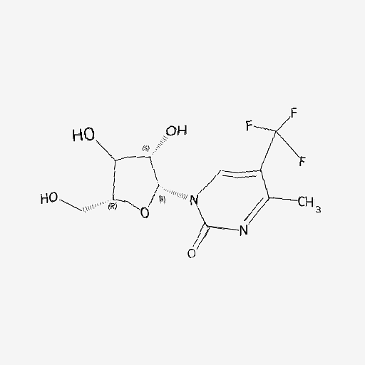 Cc1nc(=O)n([C@@H]2O[C@H](CO)C(O)[C@@H]2O)cc1C(F)(F)F